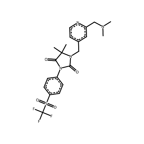 CN(C)Cc1cc(CN2C(=O)N(c3ccc(S(=O)(=O)C(F)(F)F)cc3)C(=O)C2(C)C)ccn1